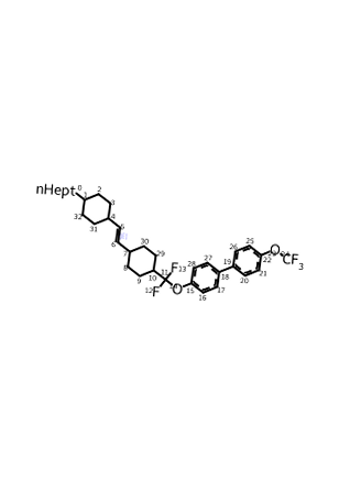 CCCCCCCC1CCC(/C=C/C2CCC(C(F)(F)Oc3ccc(-c4ccc(OC(F)(F)F)cc4)cc3)CC2)CC1